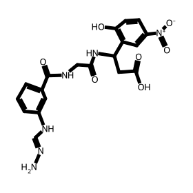 NN=CNc1cccc(C(=O)NCC(=O)NC(CC(=O)O)c2cc([N+](=O)[O-])ccc2O)c1